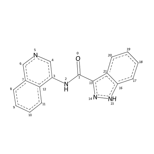 O=C(Nc1cncc2ccccc12)c1n[nH]c2ccccc12